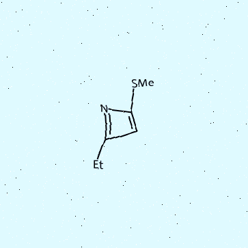 CCC1=NC(SC)=C1